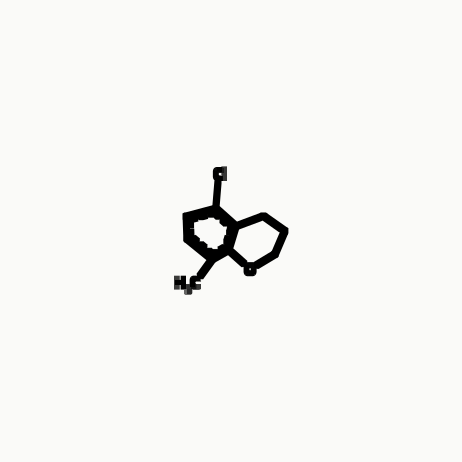 Cc1ccc(Cl)c2c1OCCC2